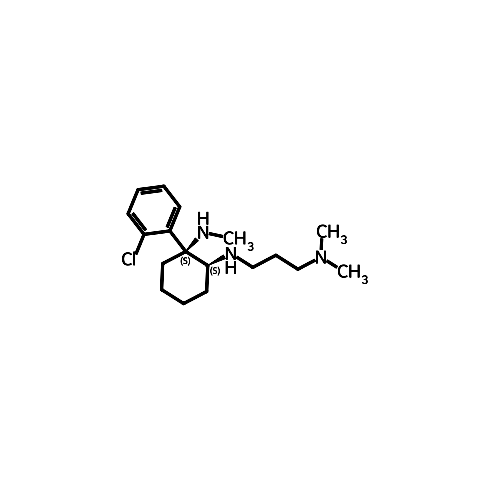 CN[C@]1(c2ccccc2Cl)CCCC[C@@H]1NCCCN(C)C